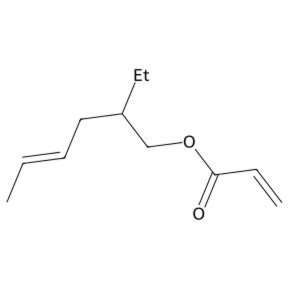 C=CC(=O)OCC(CC)C/C=C/C